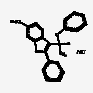 COc1ccc2c(c1)CC(c1ccccc1)=C2C(C)(N)Oc1ccccc1.Cl